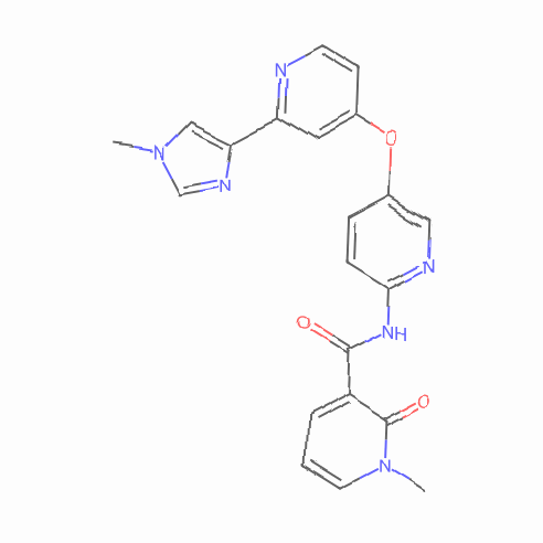 Cn1cnc(-c2cc(Oc3ccc(NC(=O)c4cccn(C)c4=O)nc3)ccn2)c1